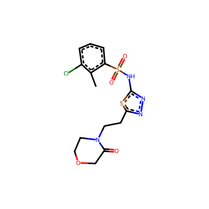 Cc1c(Cl)cccc1S(=O)(=O)Nc1nnc(CCN2CCOCC2=O)s1